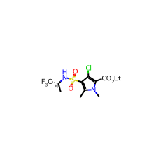 CCOC(=O)c1c(Cl)c(S(=O)(=O)N[C@H](C)C(F)(F)F)c(C)n1C